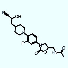 CC(=O)NCC1CN(c2ccc(N3CCC(CC(O)C#N)CC3)c(F)c2)C(=O)O1